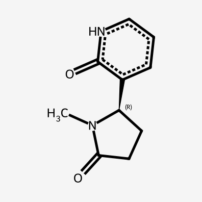 CN1C(=O)CC[C@@H]1c1ccc[nH]c1=O